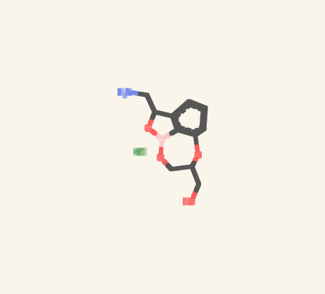 Cl.NCC1OB2OCC(CO)Oc3cccc1c32